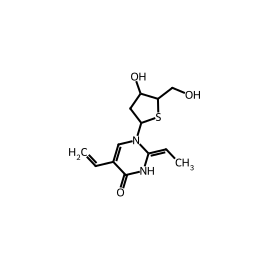 C=CC1=CN(C2CC(O)C(CO)S2)C(=CC)NC1=O